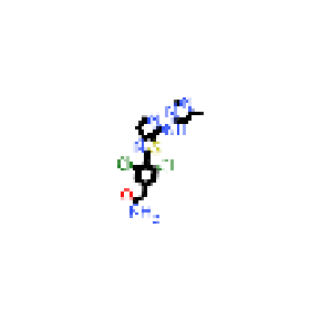 Cc1cc(Nc2nccc3nc(-c4c(Cl)cc(CC(N)=O)cc4Cl)sc23)ncn1